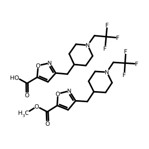 COC(=O)c1cc(CC2CCN(CC(F)(F)F)CC2)no1.O=C(O)c1cc(CC2CCN(CC(F)(F)F)CC2)no1